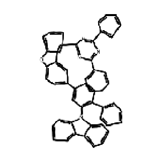 C1=CC(c2nc(-c3ccccc3)nc(-c3cccc4oc5ccc(-c6ccc(-c7ccccc7)c(-n7c8ccccc8c8ccccc87)c6)cc5c34)n2)=CCC1